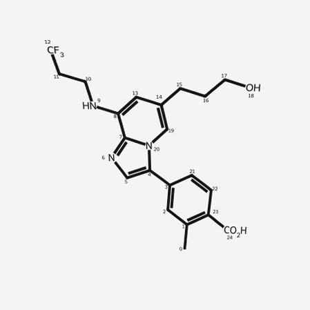 Cc1cc(-c2cnc3c(NCCC(F)(F)F)cc(CCCO)cn23)ccc1C(=O)O